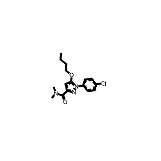 CCCCOc1cc(C(=O)N(C)C)nn1-c1ccc(Cl)cc1